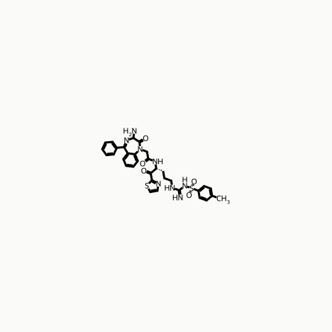 Cc1ccc(S(=O)(=O)NC(=N)NCCC[C@@H](NC(=O)CN2C(=O)C(N)N=C(c3ccccc3)c3ccccc32)C(=O)c2nccs2)cc1